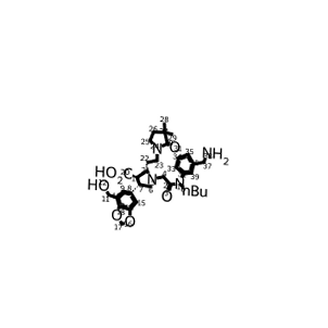 CCCCN(C(=O)CN1C[C@H](c2cc(CO)c3c(c2)OCO3)[C@@H](C(=O)O)[C@@H]1CCN1CCC(C)(C)C1=O)c1cccc(CN)c1